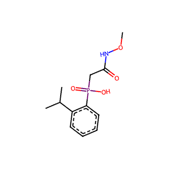 CONC(=O)CP(=O)(O)c1ccccc1C(C)C